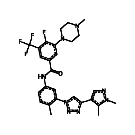 Cc1ccc(NC(=O)c2cc(N3CCN(C)CC3)c(F)c(C(F)(F)F)c2)cc1-n1cc(-c2cnn(C)c2C)nn1